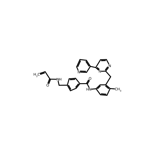 C=CC(=O)NCc1ccc(C(=O)Nc2ccc(C)c(Cc3nccc(-c4cccnc4)n3)c2)cc1